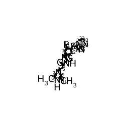 CC1CN(CCC(=O)Nc2nc3cc(F)c(Sc4cnc5ncccn45)cc3s2)CC(C)N1